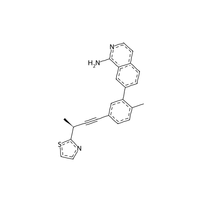 Cc1ccc(C#C[C@H](C)c2nccs2)cc1-c1ccc2ccnc(N)c2c1